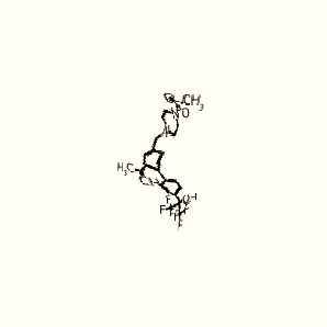 C=C(C)c1cc(CN2CCN(S(C)(=O)=O)CC2)ccc1-c1ccc(C(O)(C(F)(F)F)C(F)(F)F)cc1